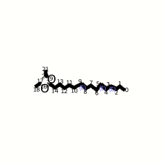 CC/C=C/C=C/CC/C=C/CCCCCC(OCC)OCC